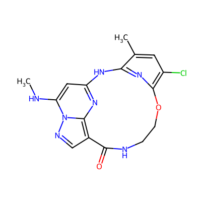 CNc1cc2nc3c(cnn13)C(=O)NCCOc1nc(c(C)cc1Cl)N2